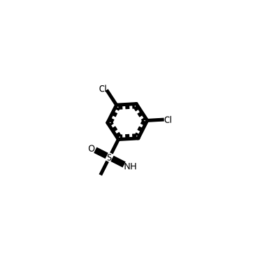 CS(=N)(=O)c1cc(Cl)cc(Cl)c1